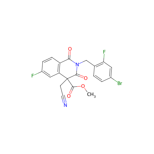 COC(=O)C1(CC#N)C(=O)N(Cc2ccc(Br)cc2F)C(=O)c2ccc(F)cc21